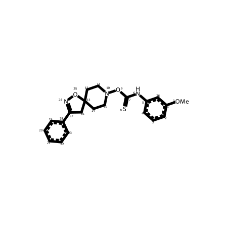 COc1cccc(NC(=S)ON2CCC3(CC2)CC(c2ccccc2)=NO3)c1